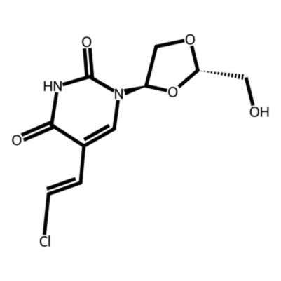 O=c1[nH]c(=O)n([C@H]2CO[C@H](CO)O2)cc1/C=C/Cl